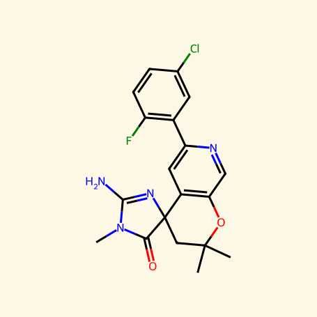 CN1C(=O)C2(CC(C)(C)Oc3cnc(-c4cc(Cl)ccc4F)cc32)N=C1N